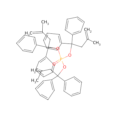 C=C(C)CC(OP(=O)(OC(CC(=C)C)(c1ccccc1)c1ccccc1)OC(CC(=C)C)(c1ccccc1)c1ccccc1)(c1ccccc1)c1ccccc1